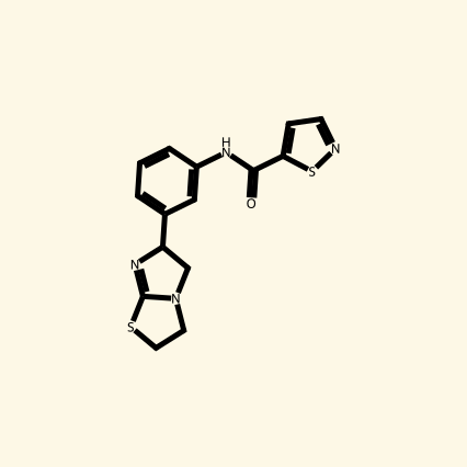 O=C(Nc1cccc(C2CN3CCSC3=N2)c1)c1ccns1